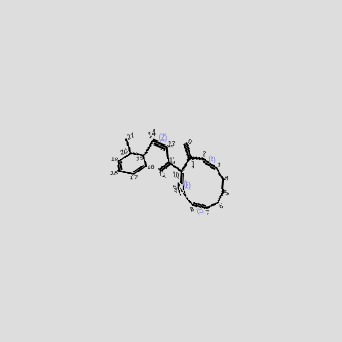 C=C1/C=C\CCC/C=C\N=C/1C(=C)/C=C\C1C=CC=CC1C